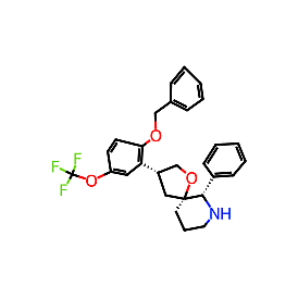 FC(F)(F)Oc1ccc(OCc2ccccc2)c([C@@H]2CO[C@]3(CCCN[C@H]3c3ccccc3)C2)c1